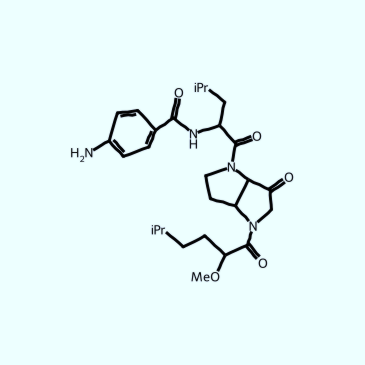 COC(CCC(C)C)C(=O)N1CC(=O)C2C1CCN2C(=O)C(CC(C)C)NC(=O)c1ccc(N)cc1